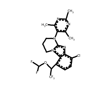 Cc1nc(C)c(N2CCCn3c2nc2c(Cl)ccc(C(OC(F)F)C(F)(F)F)c23)c(C)n1